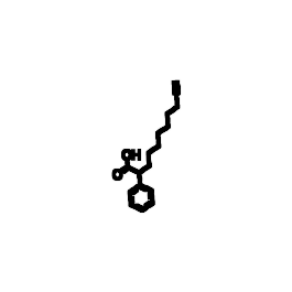 C#CCCCCCCCC(C(=O)O)c1ccccc1